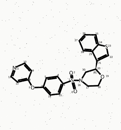 O=S(=O)(c1ccc(Oc2ccncc2)cc1)N1CCO[C@H](c2csc3ccccc23)C1